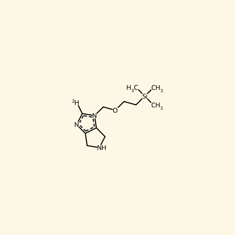 [2H]c1nc2c(n1COCC[Si](C)(C)C)CNC2